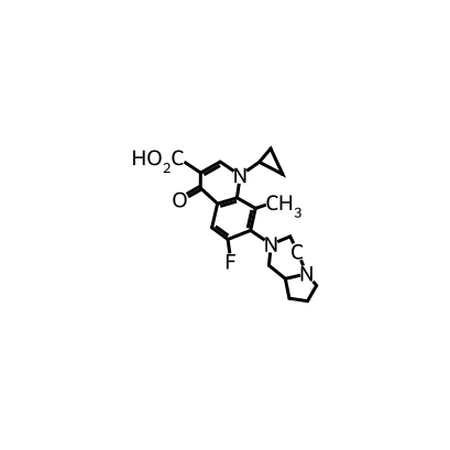 Cc1c(N2CCN3CCCC3C2)c(F)cc2c(=O)c(C(=O)O)cn(C3CC3)c12